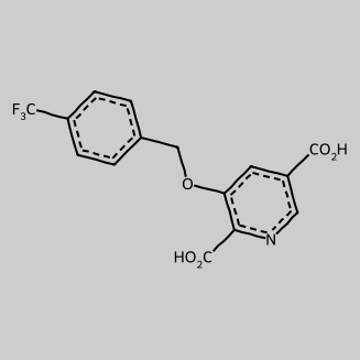 O=C(O)c1cnc(C(=O)O)c(OCc2ccc(C(F)(F)F)cc2)c1